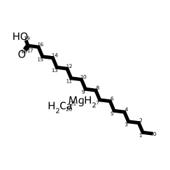 CCCCCCCCCCCCCCCCCC(=O)O.[CaH2].[MgH2]